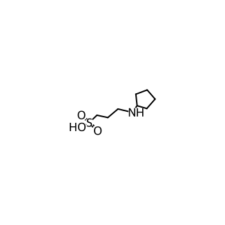 O=S(=O)(O)CCCNC1CCCC1